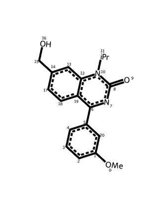 COc1cccc(-c2nc(=O)n(C(C)C)c3cc(CO)ccc23)c1